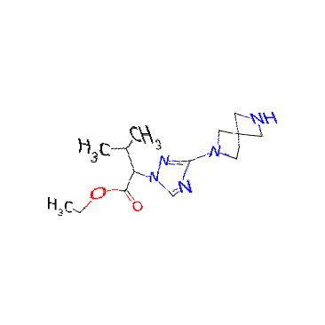 CCOC(=O)C(C(C)C)n1cnc(N2CC3(CNC3)C2)n1